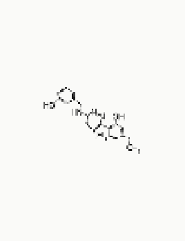 CCc1ccc(-c2nnc(NCc3cccc(O)c3)cc2C)c(O)c1